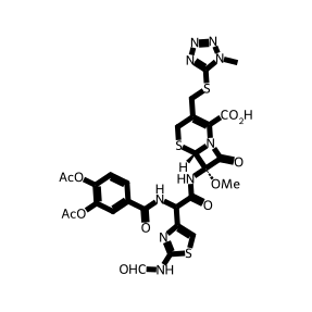 CO[C@@]1(NC(=O)C(NC(=O)c2ccc(OC(C)=O)c(OC(C)=O)c2)c2csc(NC=O)n2)C(=O)N2C(C(=O)O)=C(CSc3nnnn3C)CS[C@H]21